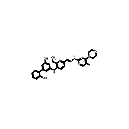 CCc1nc(/C=N/Nc2ncc(F)c(N3CCOCC3)n2)ccc1Nc1cc(O)cc(-c2ccccc2O)c1